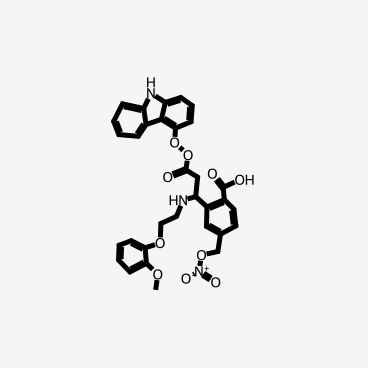 COc1ccccc1OCCNC(CC(=O)OOc1cccc2[nH]c3ccccc3c12)c1cc(CO[N+](=O)[O-])ccc1C(=O)O